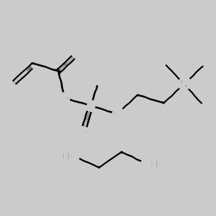 C=CC(=O)OP(=O)([O-])OCC[N+](C)(C)C.OCCO